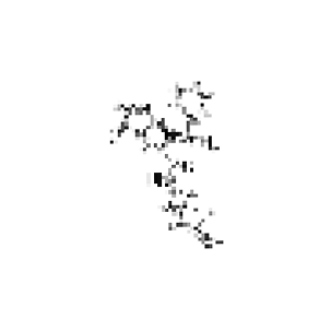 CNC(=O)c1cc(C(=O)NC2CC3(CC(O)C3)C2)n(C(C)c2ccccc2)n1